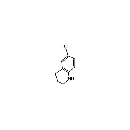 Clc1ccc2c(c1)CC[CH]N2